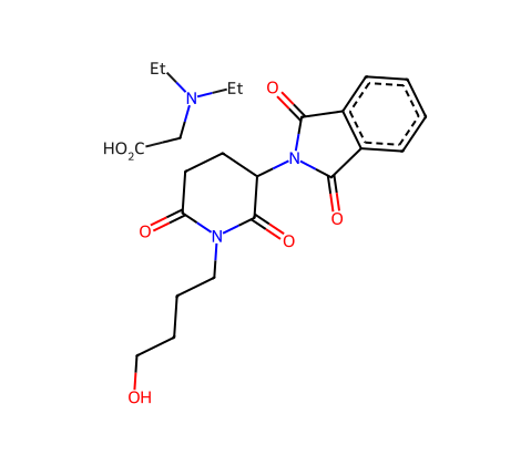 CCN(CC)CC(=O)O.O=C1CCC(N2C(=O)c3ccccc3C2=O)C(=O)N1CCCCO